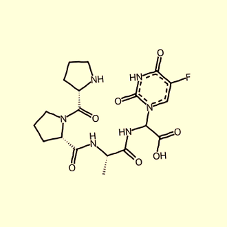 C[C@H](NC(=O)[C@@H]1CCCN1C(=O)[C@@H]1CCCN1)C(=O)NC(C(=O)O)n1cc(F)c(=O)[nH]c1=O